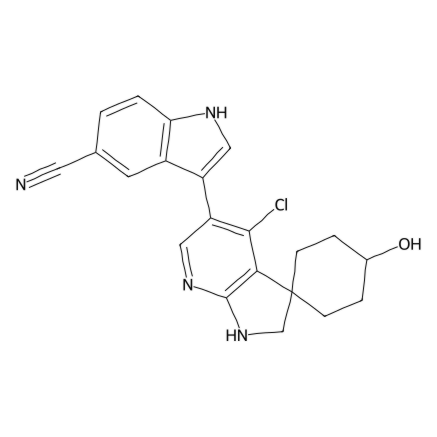 N#Cc1ccc2[nH]cc(-c3cnc4c(c3Cl)C3(CCC(O)CC3)CN4)c2c1